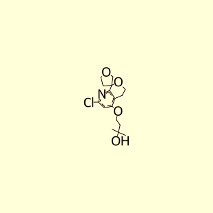 CC(C)(O)CCOc1cc(Cl)nc2c1CCOC21CCOC1